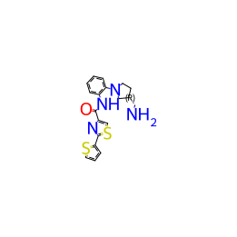 NC[C@H]1CCN(c2ccccc2NC(=O)c2csc(-c3cccs3)n2)C1